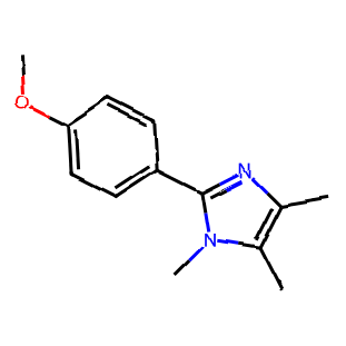 COc1ccc(-c2nc(C)c(C)n2C)cc1